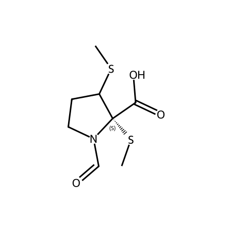 CSC1CCN(C=O)[C@]1(SC)C(=O)O